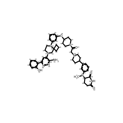 CN(c1cccc(C2CCN(CC(=O)N3CCC(Oc4cccc(N5CCN(c6cc(-c7ccccc7O)nnc6N)CC56CCC6)c4)CC3)CC2)c1)C1CCC(=O)NC1=O